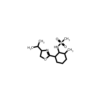 CC(C)C1COC(C2CCCC(C)C2NS(C)(=O)=O)=N1